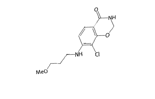 COCCCNc1ccc2c(c1Cl)OCNC2=O